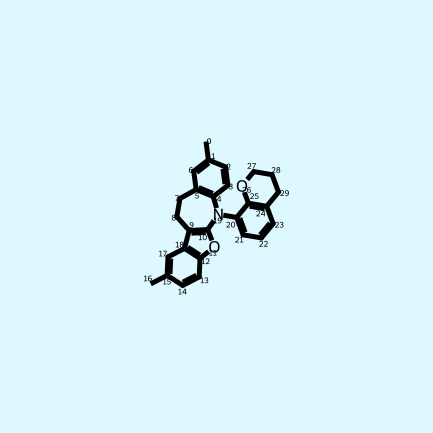 Cc1ccc2c(c1)CCc1c(oc3ccc(C)cc13)N2c1cccc2c1OCCC2